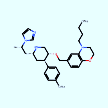 COCCCN1CCOc2ccc(CO[C@H]3CN[C@@H](C[C@H](C)n4ccnc4)C[C@@H]3c3ccc(OC)cc3)cc21